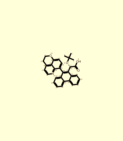 CC(C)(C)O[C@H](C(=O)O)c1c(-c2ccc3c4c(ccnc24)CCO3)c2ccccc2c2ccccc12